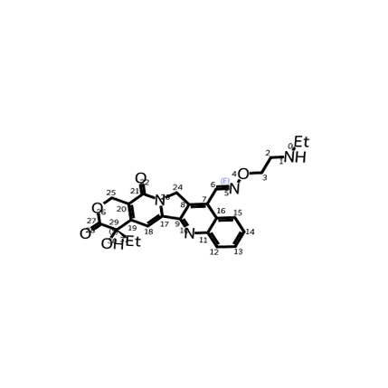 CCNCCO/N=C/c1c2c(nc3ccccc13)-c1cc3c(c(=O)n1C2)COC(=O)[C@]3(O)CC